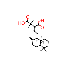 C=C1CCC2C(C)(C)CCC[C@]2(C)[C@H]1CC=C(C(=O)O)C(C)(C)C(=O)O